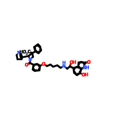 O=C(c1cccc(OCCCCCNCC(O)c2ccc(O)c3[nH]c(=O)ccc23)c1)N1CC(C(=O)O)(c2ccccc2)C1C1CN2CCC1CC2